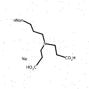 CCCCCCCCCCCCN(CCC(=O)O)CCC(=O)O.[Na]